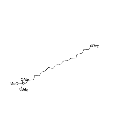 CCCCCCCCCCCCCCCCCCCCCCCCCCCCC[Si](OC)(OC)OC